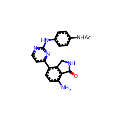 CC(=O)Nc1ccc(Nc2nccc(-c3ccc(N)c4c3CNC4=O)n2)cc1